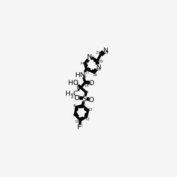 C[C@](O)(CS(=O)(=O)c1ccc(F)cc1)C(=O)Nc1cnc(C#N)nc1